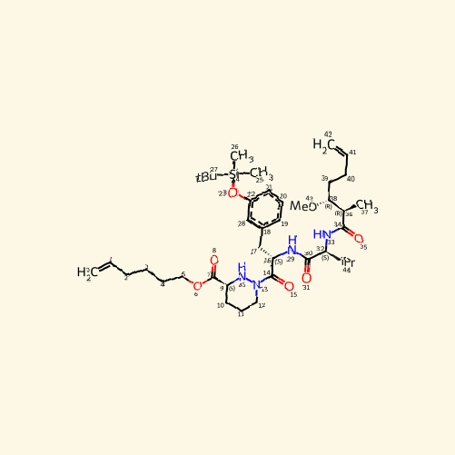 C=CCCCCOC(=O)[C@@H]1CCCN(C(=O)[C@H](Cc2cccc(O[Si](C)(C)C(C)(C)C)c2)NC(=O)[C@@H](NC(=O)[C@H](C)[C@@H](CCC=C)OC)C(C)C)N1